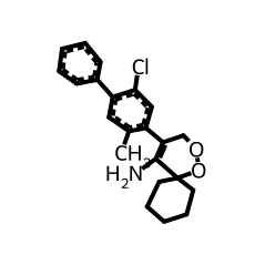 Cc1cc(-c2ccccc2)c(Cl)cc1C1=C(N)C2(CCCCC2)OOC1